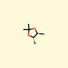 CC[C@@H]1OC(C)(C)O[C@H]1CC